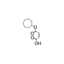 O=C(O)/C=C\C(=O)OC1CCCCCC1